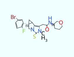 Cn1c(CC(=O)N[C@@H]2CCCOC2)c2n(c1=S)C[C@@]1(c3cc(Br)ccc3F)CC21